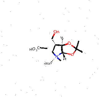 CC(=O)O.CCCCCCCCC[N@+]1(C)C[C@H](CO)[C@H]2OC(C)(C)O[C@@H]21